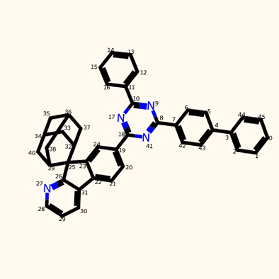 c1ccc(-c2ccc(-c3nc(-c4ccccc4)nc(-c4ccc5c(c4)C4(c6ncccc6-5)C5CC6CC(C5)CC4C6)n3)cc2)cc1